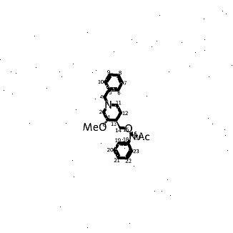 CO[C@H]1CN(Cc2ccccc2)CC[C@H]1CON(C(C)=O)c1ccccc1